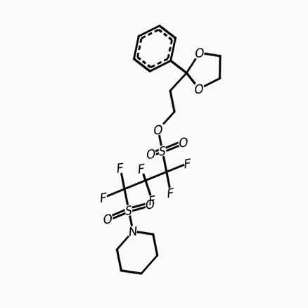 O=S(=O)(OCCC1(c2ccccc2)OCCO1)C(F)(F)C(F)(F)C(F)(F)S(=O)(=O)N1CCCCC1